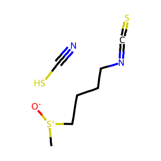 C[S+]([O-])CCCCN=C=S.N#CS